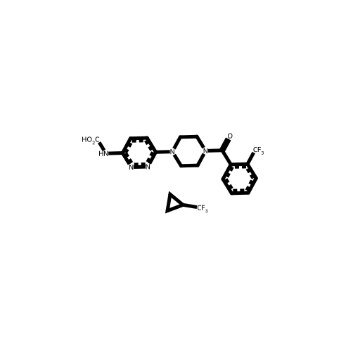 FC(F)(F)C1CC1.O=C(O)Nc1ccc(N2CCN(C(=O)c3ccccc3C(F)(F)F)CC2)nn1